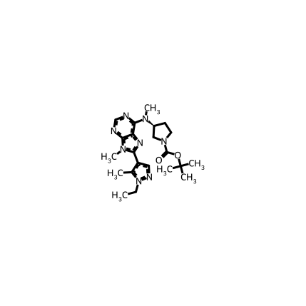 CCn1ncc(-c2nc3c(N(C)[C@H]4CCN(C(=O)OC(C)(C)C)C4)ncnc3n2C)c1C